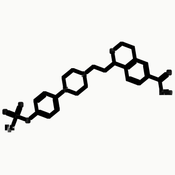 CNC(=O)c1ccc2c(c1)CCOC2CCN1CCN(c2ccc(OS(=O)(=O)C(F)(F)F)cc2)CC1